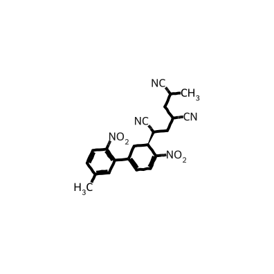 Cc1ccc([N+](=O)[O-])c(C2=CC=C([N+](=O)[O-])[C@H](C(C#N)CC(C#N)CC(C)C#N)C2)c1